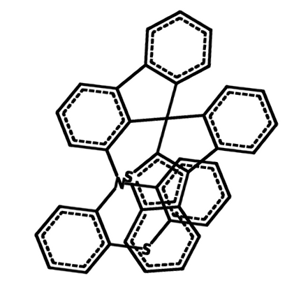 c1ccc2c(c1)Sc1ccccc1N2c1cccc2c1C1(c3ccccc3-2)c2ccccc2-c2c1sc1ccccc21